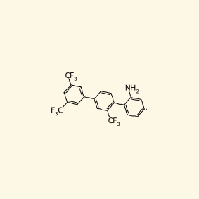 Nc1c[c]ccc1-c1ccc(-c2cc(C(F)(F)F)cc(C(F)(F)F)c2)cc1C(F)(F)F